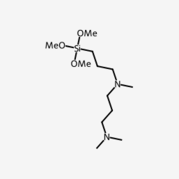 CO[Si](CCCN(C)CCCN(C)C)(OC)OC